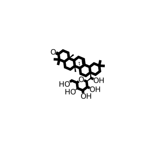 CC1(C)CC[C@]2(C(O)[C@@H]3OC(CO)[C@@H](O)C(O)C3O)CC[C@]3(C)C(=CCC4[C@@]5(C)CCC(=O)C(C)(C)C5CC[C@]43C)C2C1